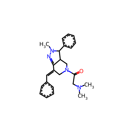 CN(C)CC(=O)N1CC(=Cc2ccccc2)C2=NN(C)C(c3ccccc3)C2C1